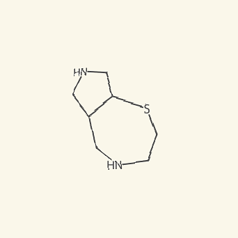 C1CSC2CNCC2CN1